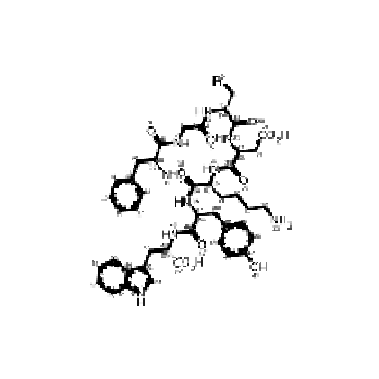 CC(C)C[C@H](NC(=O)CNC(=O)[C@@H](N)Cc1ccccc1)C(=O)N[C@@H](CC(=O)O)C(=O)N[C@@H](CCCCN)C(=O)N[C@@H](Cc1ccc(O)cc1)C(=O)N[C@@H](Cc1c[nH]c2ccccc12)C(=O)O